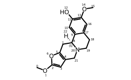 COc1cc2c(o1)C[C@H]1c3cc(O)c(OC)cc3CCN1C2